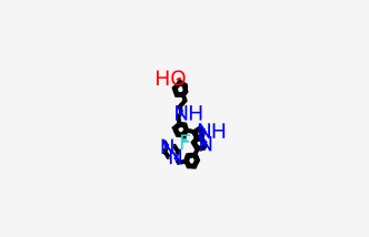 CN1CCN(Cc2cccc(-c3cnc4[nH]cc(-c5cc(CNCCc6ccc(O)cc6)ccc5F)c4c3)c2)CC1